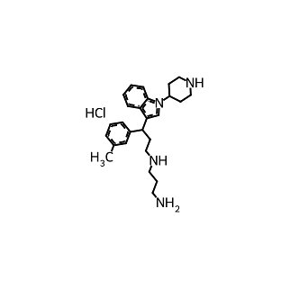 Cc1cccc(C(CCNCCCN)c2cn(C3CCNCC3)c3ccccc23)c1.Cl